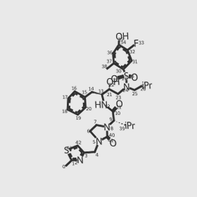 Cc1nc(CN2CCN([C@H](C(=O)N[C@@H](Cc3ccccc3)[C@H](O)CN(CC(C)C)S(=O)(=O)c3cc(F)c(O)cc3C)C(C)C)C2=O)cs1